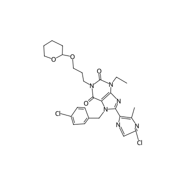 CCn1c(=O)n(CCCOC2CCCCO2)c(=O)c2c1nc(-c1ncc(Cl)nc1C)n2Cc1ccc(Cl)cc1